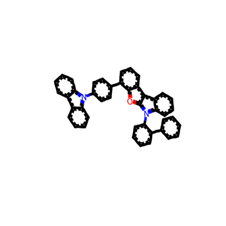 c1ccc(-c2ccccc2-n2c3ccccc3c3c4cccc(-c5ccc(-n6c7ccccc7c7ccccc76)cc5)c4oc32)cc1